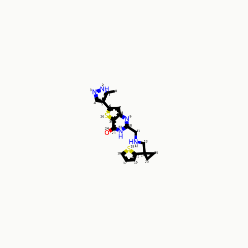 Cc1[nH]ncc1-c1cc2nc(CNCC3(c4cccs4)CC3)[nH]c(=O)c2s1